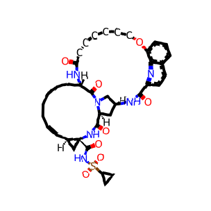 O=C1CCCCCCOc2cccc3ccc(nc23)C(=O)N[C@@H]2C[C@H]3C(=O)N[C@]4(C(=O)NS(=O)(=O)C5CC5)C[C@H]4/C=C\CCCCC[C@H](N1)C(=O)N3C2